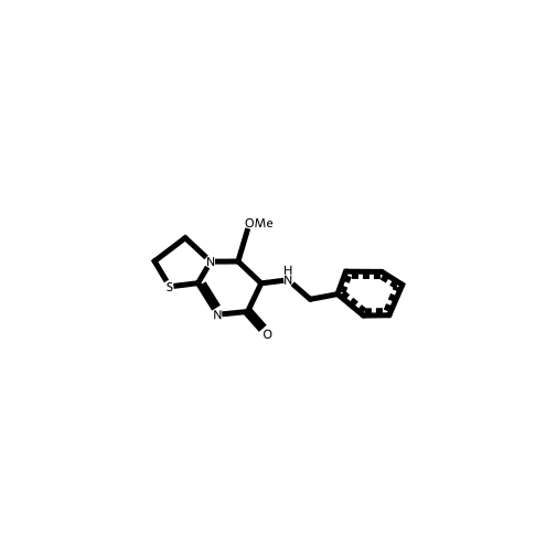 COC1C(NCc2ccccc2)C(=O)N=C2SCCN21